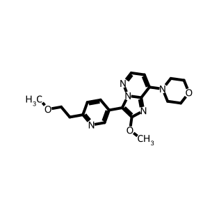 COCCc1ccc(-c2c(OC)nc3c(N4CCOCC4)ccnn23)cn1